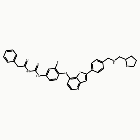 O=C(Cc1ccccc1)NC(=S)Nc1ccc(Oc2ccnc3cc(-c4ccc(CNCC5CCCO5)cc4)sc23)c(F)c1